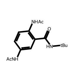 CC(=O)Nc1ccc(NC(C)=O)c(C(=O)NC(C)(C)C)c1